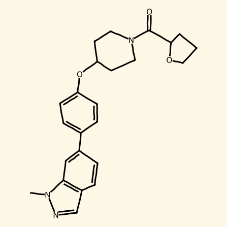 Cn1ncc2ccc(-c3ccc(OC4CCN(C(=O)C5CCCO5)CC4)cc3)cc21